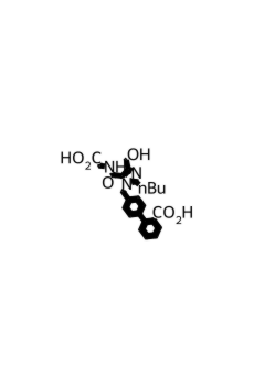 CCCCc1nc(CO)c(C(=O)NCC(=O)O)n1Cc1ccc(-c2ccccc2C(=O)O)cc1